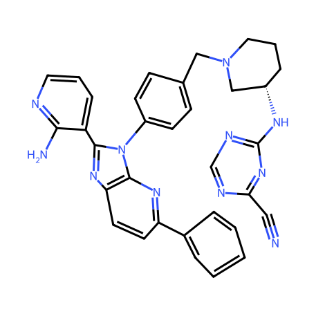 N#Cc1ncnc(N[C@H]2CCCN(Cc3ccc(-n4c(-c5cccnc5N)nc5ccc(-c6ccccc6)nc54)cc3)C2)n1